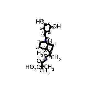 C=C(/C=C/C(=O)C(C)(C)C(=O)O)[C@H]1CC[C@H]2/C(=C/C=C3C[C@@H](O)C[C@H](O)C3)CCC[C@]12C